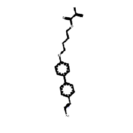 C=C(C)C(=O)OCCCCOc1ccc(-c2ccc(/C=C/C(C)=O)cc2)cc1